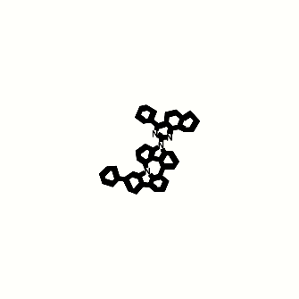 c1ccc(-c2ccc3c4cccc5c6cccc7c6c6c(cccc6n(c3c2)c54)n7-c2nc(-c3ccccc3)c3ccc4ccccc4c3n2)cc1